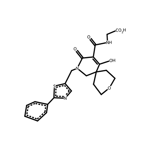 O=C(O)CNC(=O)C1=C(O)C2(CCOCC2)CN(Cc2cnc(-c3ccccc3)s2)C1=O